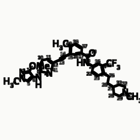 COc1nn(C)cc1NC1=CCC=C(C#Cc2cc(C(=O)Nc3ccc(CCC4CCN(C)CC4)c(C(F)(F)F)c3)ccc2C)C=N1